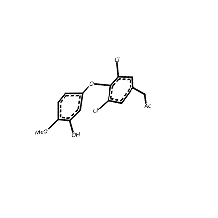 COc1ccc(Oc2c(Cl)cc(CC(C)=O)cc2Cl)cc1O